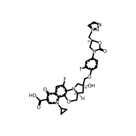 O=C(O)c1cn(C2CC2)c2c3c(c(F)cc2c1=O)N1C[C@@](O)(COc2ccc(N4C[C@@H](Cn5ccnn5)OC4=O)cc2F)C[C@H]1CO3